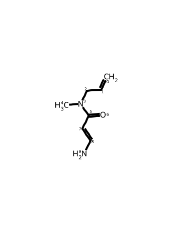 C=CCN(C)C(=O)C=CN